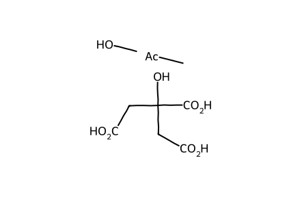 CC(C)=O.CO.O=C(O)CC(O)(CC(=O)O)C(=O)O